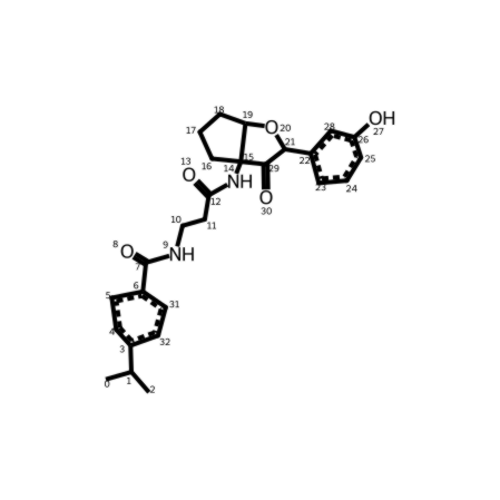 CC(C)c1ccc(C(=O)NCCC(=O)NC23CCCC2OC(c2cccc(O)c2)C3=O)cc1